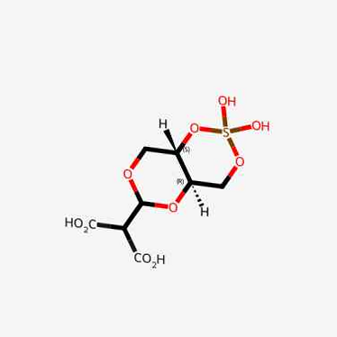 O=C(O)C(C(=O)O)C1OC[C@@H]2OS(O)(O)OC[C@H]2O1